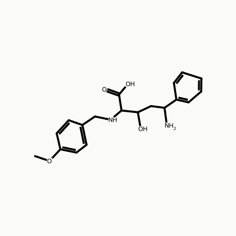 COc1ccc(CNC(C(=O)O)C(O)CC(N)c2ccccc2)cc1